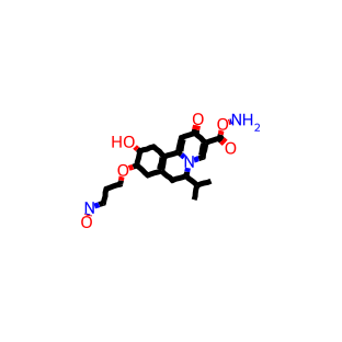 CC(C)C1CC2=C(CC(O)C(OCCCN=O)C2)c2cc(=O)c(C(=O)ON)cn21